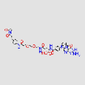 CN(c1ccc(C(=O)NC(CCC(=O)NCCOCCOCCC(=O)Nc2ccc(CCC(=O)N3CCC3=O)cc2)C(=O)O)cc1)c1cnc2nc(N)[nH]c(=O)c2n1